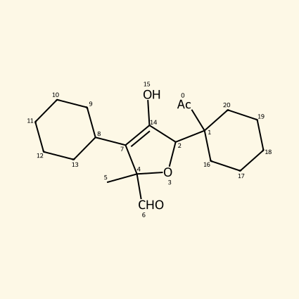 CC(=O)C1(C2OC(C)(C=O)C(C3CCCCC3)=C2O)CCCCC1